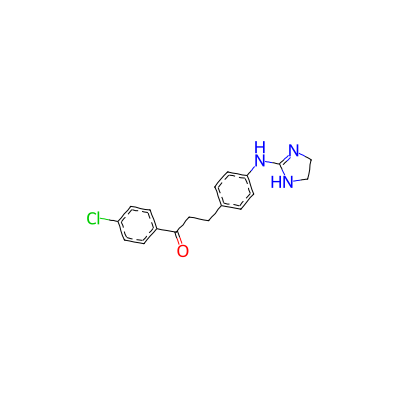 O=C(CCc1ccc(NC2=NCCN2)cc1)c1ccc(Cl)cc1